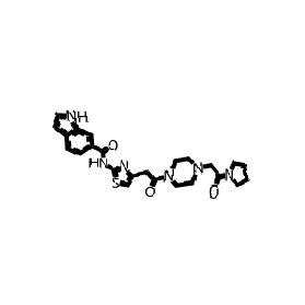 O=C(Nc1nc(CC(=O)N2CCN(CC(=O)N3CCCC3)CC2)cs1)c1ccc2cc[nH]c2c1